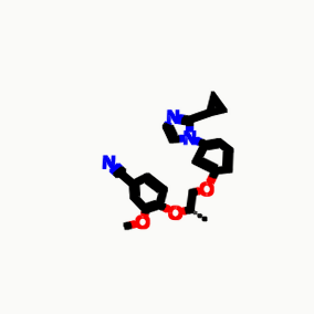 COc1cc(C#N)ccc1O[C@@H](C)COc1cccc(-n2ccnc2C2CC2)c1